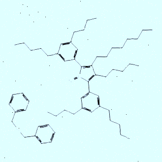 CCCCCCCCC1=C(c2cc(CCCC)cc(CCCCC)c2)[N+](=[N-])C(c2cc(CCCC)cc(CCCCC)c2)=C1CCCCC.c1ccc([CH2][Ni][CH2]c2ccccc2)cc1